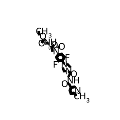 CCOC(=O)NC[C@H]1CN(c2cc(F)c(N3CCN(C(=O)CNC(=O)c4ccc(C)nc4)CC3)c(F)c2)C(=O)O1